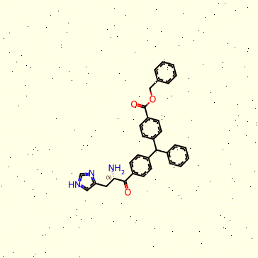 N[C@@H](Cc1c[nH]cn1)C(=O)c1ccc([C](c2ccccc2)c2ccc(C(=O)OCc3ccccc3)cc2)cc1